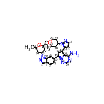 CC1CC(n2ncc3ccc(-c4cc(-c5ccnn5C5CCOCC5)c5c(N)ncnn45)cc32)CC(C)O1